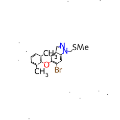 CSCn1ncc2cc(Oc3c(C)cccc3C)c(Br)cc21